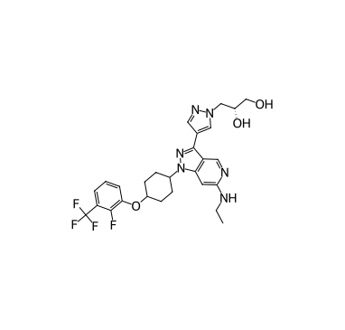 CCNc1cc2c(cn1)c(-c1cnn(C[C@@H](O)CO)c1)nn2C1CCC(Oc2cccc(C(F)(F)F)c2F)CC1